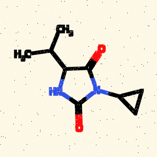 CC(C)C1NC(=O)N(C2CC2)C1=O